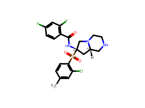 O=C(N[C@]1(S(=O)(=O)c2ccc(C(F)(F)F)cc2Cl)C[C@H]2CNCCN2C1)c1ccc(F)cc1F